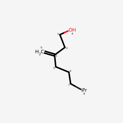 C=C(CCO)CCCC(C)C